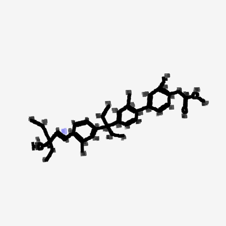 CCC(O)(/C=C/c1ccc(C(CC)(CC)c2ccc(-c3ccc(CC(=O)OC)c(F)c3)c(C)c2)cc1C)CC